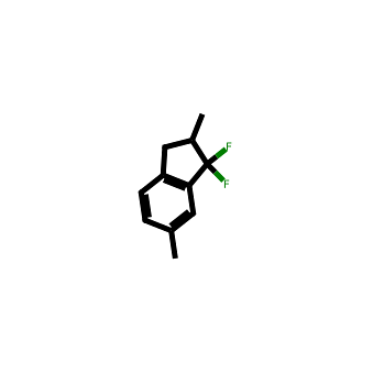 Cc1ccc2c(c1)C(F)(F)C(C)C2